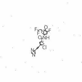 Cn1cncc1C#Cc1cc(C(=O)Nc2cc(F)c(=O)n(CC(F)F)c2)sc1Cl